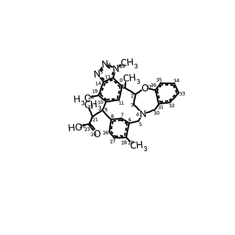 CCC1CN(Cc2cc(C(c3ccc4c(nnn4C)c3C)C(C)C(=O)O)ccc2C)Cc2ccccc2O1